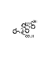 Cc1ccccc1CCN(CCC(=O)O)C(=O)c1ccccc1-c1ccccc1C(=O)NC(CO)c1ccccc1